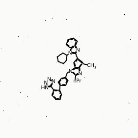 CCCc1nc2c(C)cc(-c3nc4ccccc4n3C3CCCCC3)cc2n1Cc1ccc(-c2ccccc2-c2nnn[nH]2)cc1